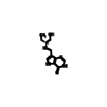 CC[C@H](CO)NCc1c[nH]c2c(=O)[nH]cnc12